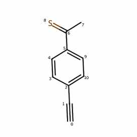 C#Cc1ccc(C(C)=S)cc1